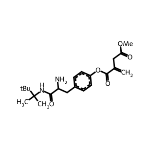 C=C(CC(=O)OC)C(=O)Oc1ccc(CC(N)C(=O)NC(C)(C)C(C)(C)C)cc1